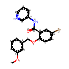 COc1cccc(COc2ccc(Br)cc2C(=O)Nc2cccnc2)c1